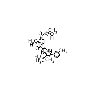 Cc1cccc(-c2cc(C(C)(C)C)c3nc(C(=O)N4CCN(C(=O)C5CC(C)(O)C5)CC4(C)C)cn3n2)c1